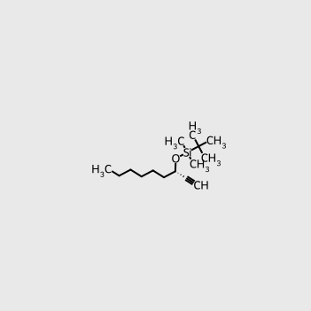 C#C[C@H](CCCCCC)O[Si](C)(C)C(C)(C)C